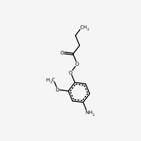 CCCC(=O)OOc1ccc(N)cc1OC